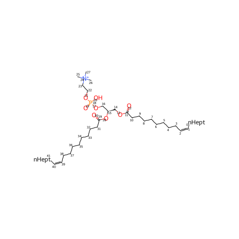 CCCCCCC/C=C\CCCCCCCCC(=O)OC[C@H](COP(=O)(O)OCC[N+](C)(C)C)OC(=O)CCCCCCCC/C=C\CCCCCCC